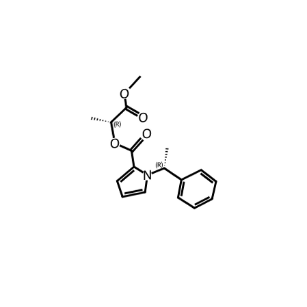 COC(=O)[C@@H](C)OC(=O)c1cccn1[C@H](C)c1ccccc1